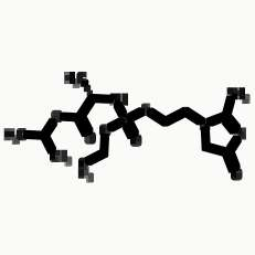 CCOP(=O)(N[C@@H](C)C(=O)OC(C)C)SCCN1CC(=O)N=C1N